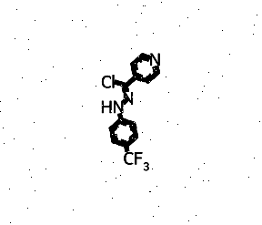 FC(F)(F)c1ccc(N/N=C(\Cl)c2ccncc2)cc1